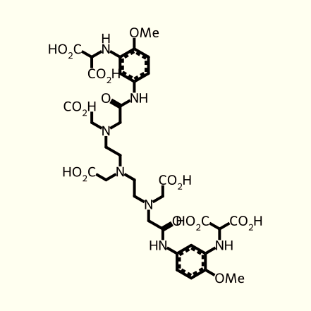 COc1ccc(NC(=O)CN(CCN(CCN(CC(=O)O)CC(=O)Nc2ccc(OC)c(NC(C(=O)O)C(=O)O)c2)CC(=O)O)CC(=O)O)cc1NC(C(=O)O)C(=O)O